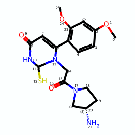 COc1ccc(C2=CC(=O)NC(S)N2CC(=O)N2CC[C@H](N)C2)c(OC)c1